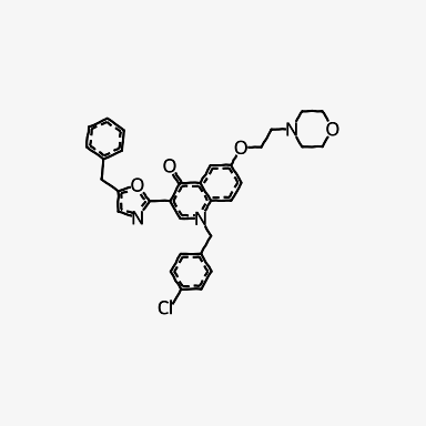 O=c1c(-c2ncc(Cc3ccccc3)o2)cn(Cc2ccc(Cl)cc2)c2ccc(OCCN3CCOCC3)cc12